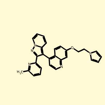 Cc1cccc(-c2nn3ccccc3c2-c2ccnc3cc(OCCn4cccc4)ccc23)n1